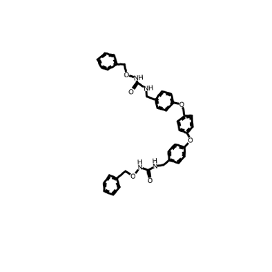 O=C(NCc1ccc(Oc2ccc(Oc3ccc(CNC(=O)NOCc4ccccc4)cc3)cc2)cc1)NOCc1ccccc1